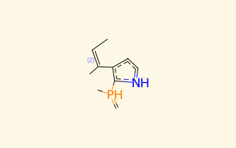 C=[PH](C)c1[nH]ccc1/C(C)=C\C